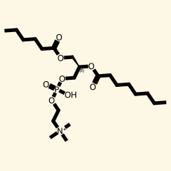 CCCCCCCC(=O)O[C@H](COC(=O)CCCCC)COP(=O)(O)OCC[N+](C)(C)C